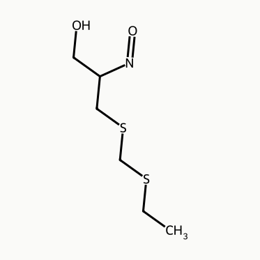 CCSCSCC(CO)N=O